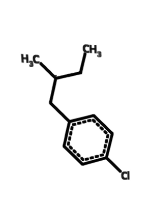 CC[C](C)Cc1ccc(Cl)cc1